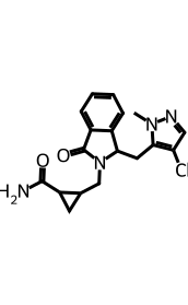 Cn1ncc(Cl)c1CC1c2ccccc2C(=O)N1CC1CC1C(N)=O